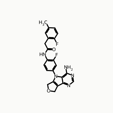 Cc1ccc(F)c(CC(=O)Nc2ccc(-n3c4c(c5ncnc(N)c53)COC4)cc2F)c1